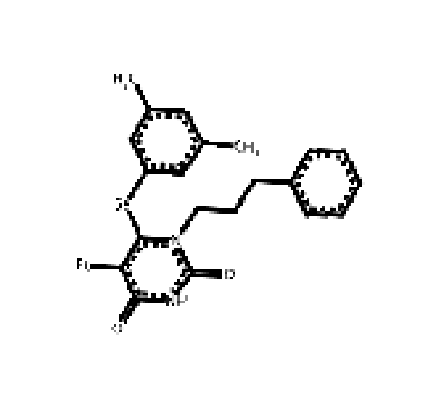 CCc1c([Se]c2cc(C)cc(C)c2)n(CCCc2ccccc2)c(=O)[nH]c1=O